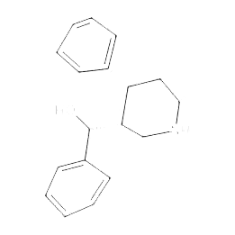 OC(c1ccccc1)[C@H]1CNCC[C@H]1c1ccccc1